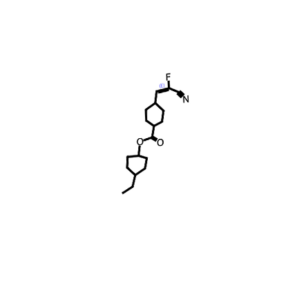 CCC1CCC(OC(=O)C2CCC(/C=C(/F)C#N)CC2)CC1